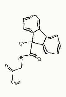 COC(=O)CNC(=O)C1(N)c2ccccc2-c2ccccc21